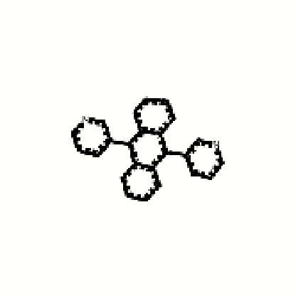 c1cncc(-c2c3ccccc3c(-c3cccnc3)c3ccccc23)c1